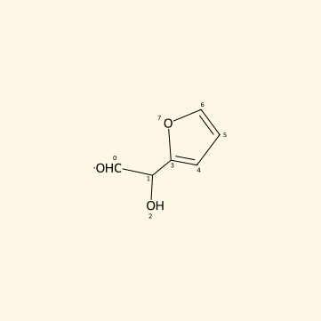 O=[C]C(O)c1ccco1